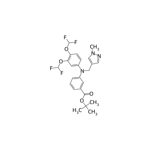 Cn1cc(CN(c2cccc(C(=O)OC(C)(C)C)c2)c2ccc(OC(F)F)c(OC(F)F)c2)cn1